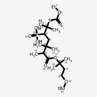 CCOC(=S)SC(C)(C)C(CC(C)(C)C(C)C(=O)OC(C)(C)CCOC(C)(C)C)P(=O)(O)O